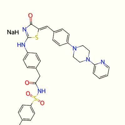 Cc1ccc(S(=O)(=O)NC(=O)Cc2ccc(NC3=NC(=O)C(=Cc4ccc(N5CCN(c6ccccn6)CC5)cc4)S3)cc2)cc1.[NaH]